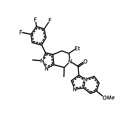 CCC1Cc2c(nn(C)c2-c2cc(F)c(F)c(F)c2)C(C)N1C(=O)c1cnc2cc(OC)ccn12